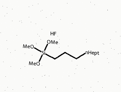 CCCCCCCCCC[Si](OC)(OC)OC.F